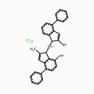 CCCc1ccc(-c2ccccc2)c2c1[CH]([Zr+2][CH]1C(C(C)C)=Cc3c(-c4ccccc4)cccc31)C(C)=C2.[Cl-].[Cl-]